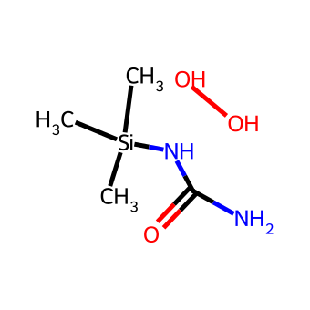 C[Si](C)(C)NC(N)=O.OO